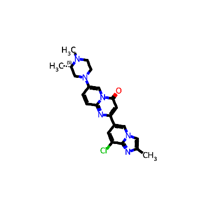 Cc1cn2cc(-c3cc(=O)n4cc(N5CCN(C)[C@@H](C)C5)ccc4n3)cc(Cl)c2n1